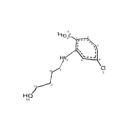 O=C(O)c1ccc(Cl)cc1NCCCCO